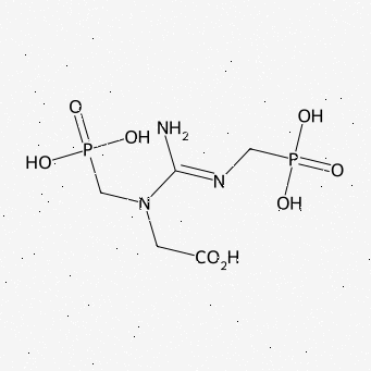 NC(=NCP(=O)(O)O)N(CC(=O)O)CP(=O)(O)O